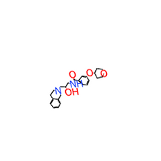 O=C(NCC(O)CN1CCc2ccccc2C1)c1cccc(OC2CCOCC2)c1